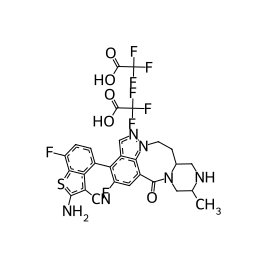 CC1CN2C(=O)c3cc(F)c(-c4ccc(F)c5sc(N)c(C#N)c45)c4cnn(c34)CCC2CN1.O=C(O)C(F)(F)F.O=C(O)C(F)(F)F